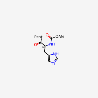 CCCC(C)C(=O)[C@H](Cc1cnc[nH]1)NC(=O)OC